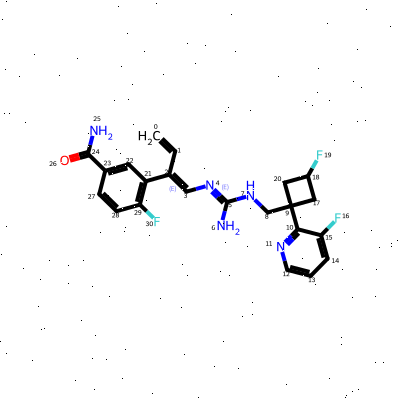 C=C/C(=C\N=C(/N)NCC1(c2ncccc2F)CC(F)C1)c1cc(C(N)=O)ccc1F